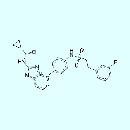 O=C(Nc1nc2cccc(-c3ccc(NS(=O)(=O)CCc4cccc(F)c4)cc3)n2n1)C1CC1